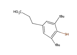 CC(C)(C)c1cc(CCC(=O)O)cc(C(C)(C)C)c1S